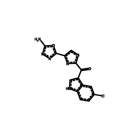 Nc1nnc(-c2csc(C(=O)c3c[nH]c4ccc(Cl)cc34)n2)o1